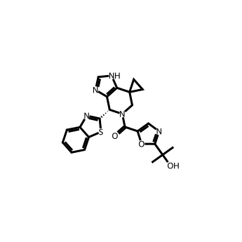 CC(C)(O)c1ncc(C(=O)N2CC3(CC3)c3[nH]cnc3[C@H]2c2nc3ccccc3s2)o1